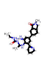 C=C(NC(=O)NCC)Nc1c(N)cc(-c2ccc3c(c2)C(=O)N(C)C3)cc1-c1ccccn1